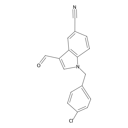 N#Cc1ccc2c(c1)c(C=O)cn2Cc1ccc(Cl)cc1